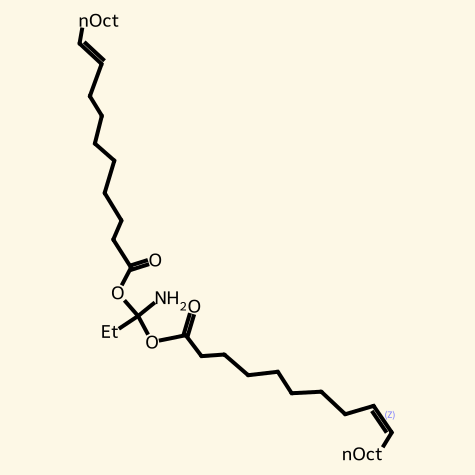 CCCCCCCCC=CCCCCCCCC(=O)OC(N)(CC)OC(=O)CCCCCCC/C=C\CCCCCCCC